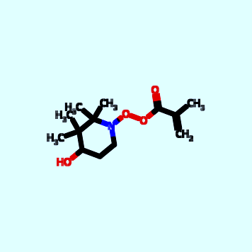 C=C(C)C(=O)OON1CCC(O)C(C)(C)C1(C)C